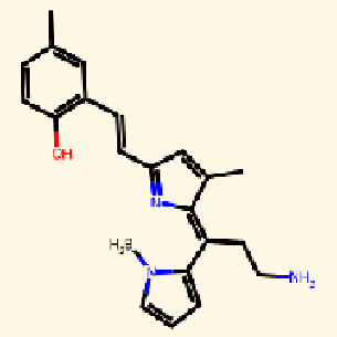 Bn1cccc1/C(CCN)=C1N=C(/C=C/c2cc(C)ccc2O)C=C\1C